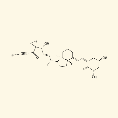 C=C1/C(=C\C=C2/CCC[C@]3(C)[C@@H]([C@H](C)/C=C/[C@@H](O)C4(C(=O)C#CCCC)CC4)CC[C@@H]23)C[C@@H](O)C[C@@H]1O